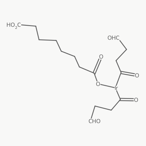 O=CCC[C](=O)[Ir]([O]C(=O)CCCCCCC(=O)O)[C](=O)CCC=O